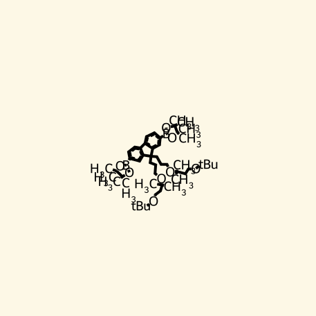 CC(C)(C)OCCC(C)(C)OCCCC1(CCCOC(C)(C)CCOC(C)(C)C)c2cc(B3OC(C)(C)C(C)(C)O3)ccc2-c2ccc(B3OC(C)(C)C(C)(C)O3)cc21